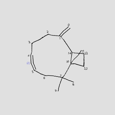 C=C1CC/C=C\CC(C)(C)C2(C)CCC12